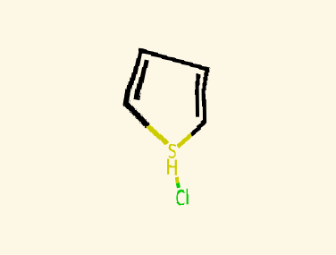 Cl[SH]1C=CC=C1